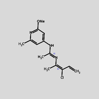 C=C/C(Cl)=C(C)\N=C(/C)Nc1cc(C)nc(OC)c1